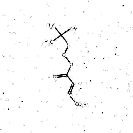 CCCC(C)(C)OOOC(=O)C=CC(=O)OCC